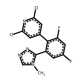 Cn1cnnc1-c1cc(F)cc(F)c1-c1cc(Cl)nc(Cl)c1